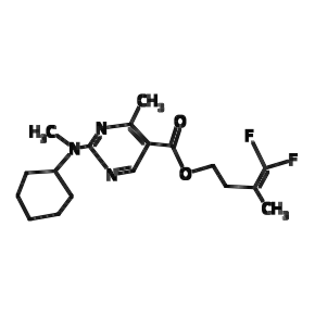 CC(CCOC(=O)c1cnc(N(C)C2CCCCC2)nc1C)=C(F)F